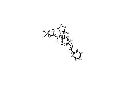 CC(C)(C)OC(=O)NNC(=O)C(CC1CCCC1)NC(=O)OCc1ccccc1